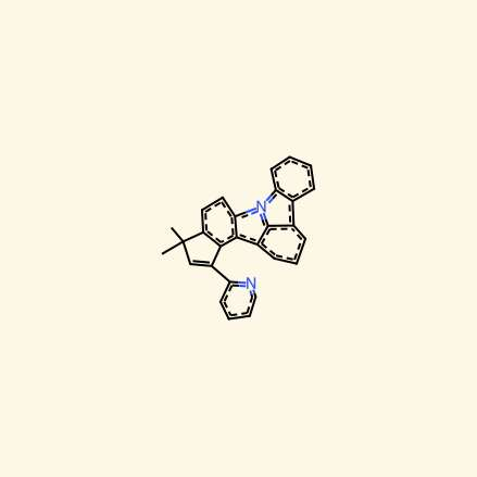 CC1(C)C=C(c2ccccn2)c2c1ccc1c2c2cccc3c4ccccc4n1c32